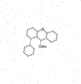 COc1c2ccccc2nc2cccc(-c3ccccc3)c12